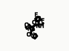 CC[C@@H](NC(=O)c1cc(C(=O)N2CCCC2)n2c1COCC2)c1ccc(F)cc1F